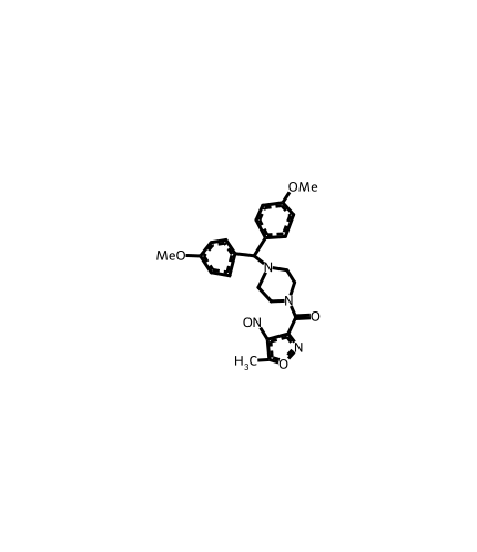 COc1ccc(C(c2ccc(OC)cc2)N2CCN(C(=O)c3noc(C)c3N=O)CC2)cc1